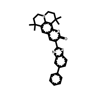 CC1(C)CCN2CCC(C)(C)c3c2c1cc1cc(-c2nc4cc(-c5ccccc5)ccc4s2)c(=O)oc31